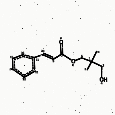 CC(C)(CO)COC(=O)/C=C/c1ccccc1